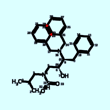 CC(C)CN(C[C@@H](O)[C@H](Cc1ccccc1)N(Cc1ccccc1)Cc1ccccc1)[SH](=O)=O